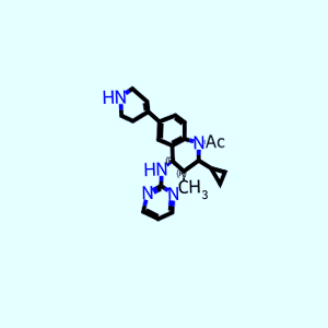 CC(=O)N1c2ccc(C3=CCNCC3)cc2[C@H](Nc2ncccn2)[C@@H](C)C1C1CC1